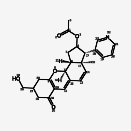 CC(=O)OC1C[C@H]2[C@@H]3OC4=C(C=C3C=C[C@]2(C)[C@H]1c1cccnc1)C(=O)CC(CO)C4